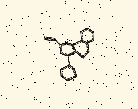 N#Cc1cc(-c2ccccc2)c2ccc3ccccc3c2n1